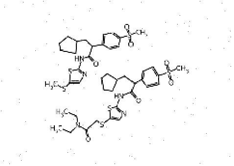 CCN(CC)C(=O)CSc1cnc(NC(=O)C(CC2CCCC2)c2ccc(S(C)(=O)=O)cc2)s1.CSc1cnc(NC(=O)C(CC2CCCC2)c2ccc(S(C)(=O)=O)cc2)s1